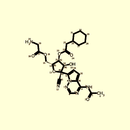 CC(=O)Nc1ncnn2c([C@]3(C#N)O[C@H](COC(=O)CN)[C@@H](OC(=O)CC4CCCCC4)[C@H]3O)ccc12